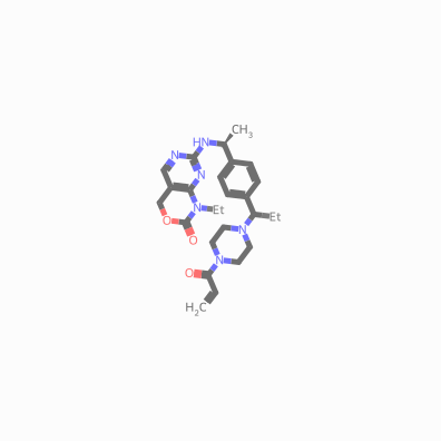 C=CC(=O)N1CCN(C(CC)c2ccc([C@H](C)Nc3ncc4c(n3)N(CC)C(=O)OC4)cc2)CC1